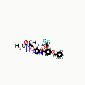 CC(=O)N[C@@H](C)COc1cc2oc(-c3ccc(OCc4ccccc4)cc3OCC(F)(F)F)nc2cn1